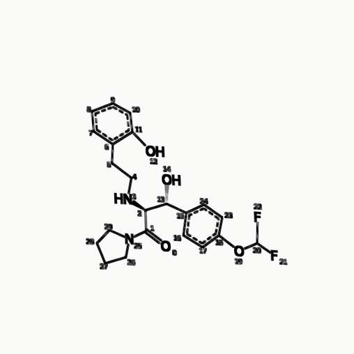 O=C([C@@H](NCCc1ccccc1O)[C@H](O)c1ccc(OC(F)F)cc1)N1CCCC1